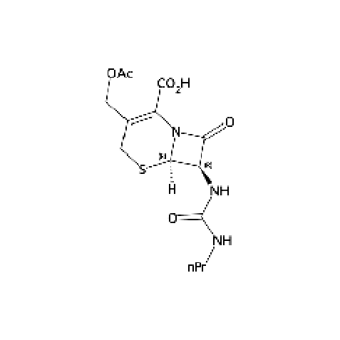 CCCNC(=O)N[C@@H]1C(=O)N2C(C(=O)O)=C(COC(C)=O)CS[C@H]12